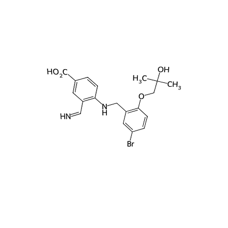 CC(C)(O)COc1ccc(Br)cc1CNc1ccc(C(=O)O)cc1C=N